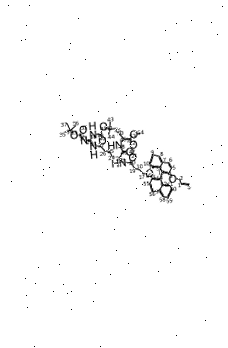 C=CCOc1ccc2ccccc2c1-c1c(OCCCC(=O)N[C@H](CCCCN/C(=N/C(=O)OC(C)(C)C)NC(=O)OC(C)(C)C)C(=O)NC(C)C(=O)OC)ccc2ccccc12